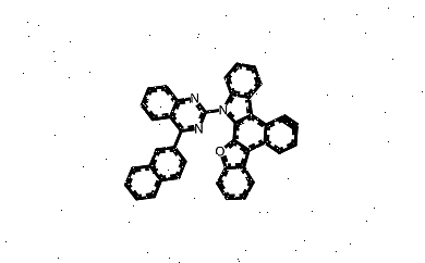 c1ccc2c(c#1)c1c3ccccc3n(-c3nc(-c4ccc5ccccc5c4)c4ccccc4n3)c1c1oc3ccccc3c21